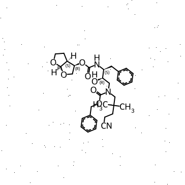 CC(C)(CCC#N)CN(C[C@@H](O)[C@H](Cc1ccccc1)NC(=O)O[C@H]1CO[C@H]2OCC[C@H]21)C(=O)OCc1ccccc1